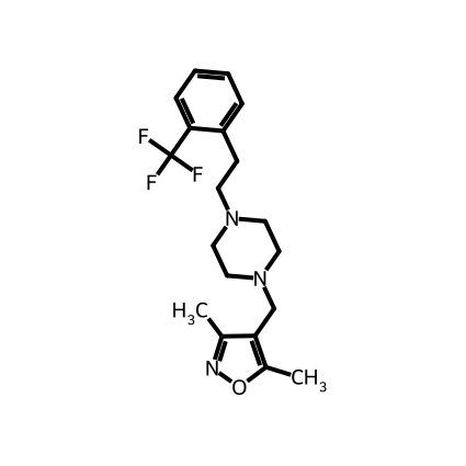 Cc1noc(C)c1CN1CCN(CCc2ccccc2C(F)(F)F)CC1